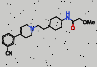 COCC(=O)NC1CCC(CCN2CC=C(c3cccc(C#N)c3)CC2)CC1